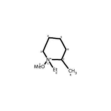 CC[N+]1(OC)CCCCC1C